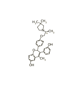 CC1=C(c2cccc(O)c2)C(c2ccc(OC[C@H](C)N3CCC(C)(C)C3)cc2)Oc2ccc(O)cc21